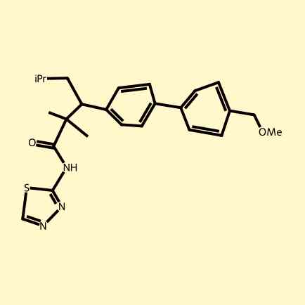 COCc1ccc(-c2ccc(C(CC(C)C)C(C)(C)C(=O)Nc3nncs3)cc2)cc1